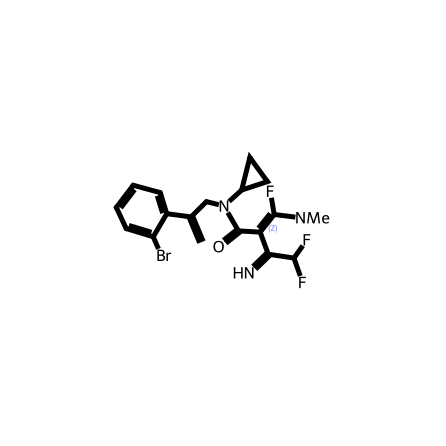 C=C(CN(C(=O)/C(C(=N)C(F)F)=C(\F)NC)C1CC1)c1ccccc1Br